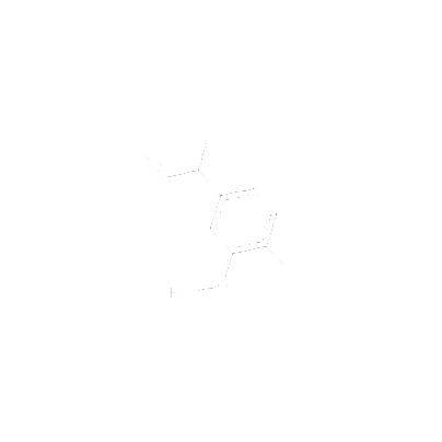 [CH2]C(C=C)c1ccc(CC)c(OC(F)(F)F)c1